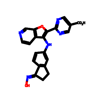 O=C(O)c1cnc(-c2oc3cnccc3c2Nc2ccc3c(c2)CC/C3=N\O)nc1